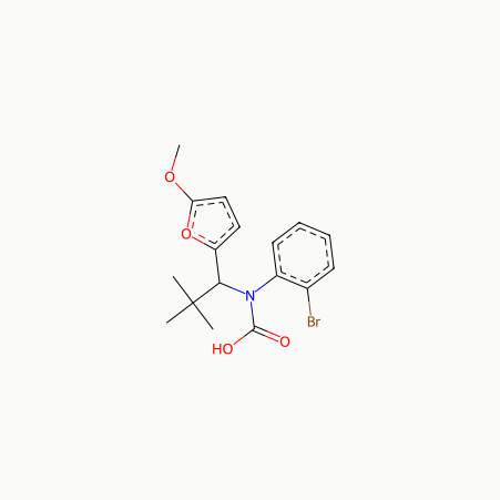 COc1ccc(C(N(C(=O)O)c2ccccc2Br)C(C)(C)C)o1